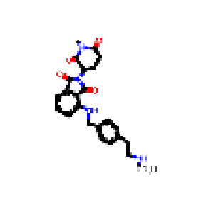 CN1C(=O)CCC(N2C(=O)c3cccc(NCc4ccc(CCNC(=O)O)cc4)c3C2=O)C1=O